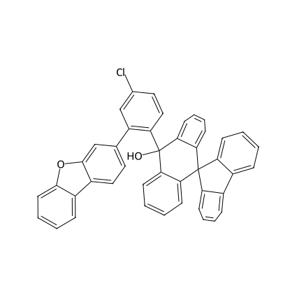 OC1(c2ccc(Cl)cc2-c2ccc3c(c2)oc2ccccc23)c2ccccc2C2(c3ccccc3-c3ccccc32)c2ccccc21